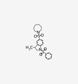 CC1CN(S(=O)(=O)c2ccccc2)c2ccc(S(=O)(=O)N3CCCCCC3)cc21